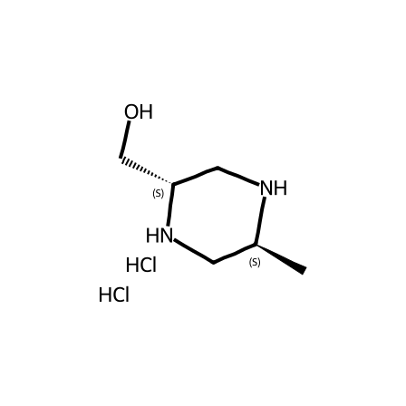 C[C@H]1CN[C@H](CO)CN1.Cl.Cl